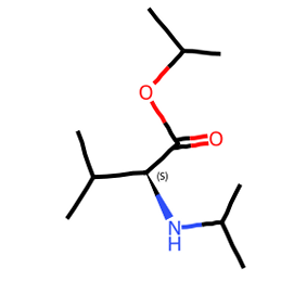 CC(C)N[C@H](C(=O)OC(C)C)C(C)C